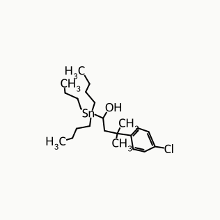 CCC[CH2][Sn]([CH2]CCC)([CH2]CCC)[CH](O)CC(C)(C)c1ccc(Cl)cc1